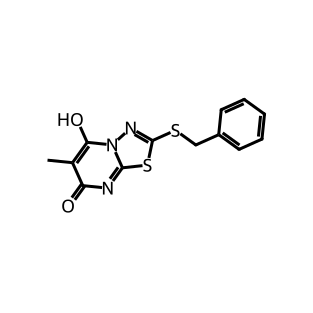 Cc1c(O)n2nc(SCc3ccccc3)sc2nc1=O